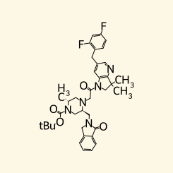 C[C@@H]1CN(CC(=O)N2CC(C)(C)c3ncc(Cc4ccc(F)cc4F)cc32)[C@@H](CN2Cc3ccccc3C2=O)CN1C(=O)OC(C)(C)C